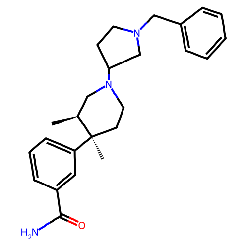 C[C@H]1CN(C2CCN(Cc3ccccc3)C2)CC[C@@]1(C)c1cccc(C(N)=O)c1